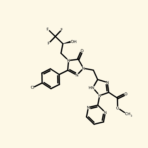 COC(=O)C1=NC(Cn2nc(-c3ccc(Cl)cc3)n(C[C@H](O)C(F)(F)F)c2=O)NN1c1ncccn1